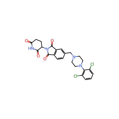 O=C1CCC(N2C(=O)c3ccc(CN4CCN(c5c(Cl)cccc5Cl)CC4)cc3C2=O)C(=O)N1